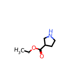 C[CH]OC(=O)C1CCNC1